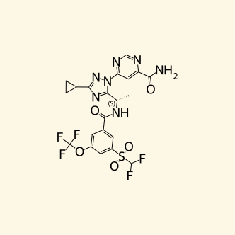 C[C@H](NC(=O)c1cc(OC(F)(F)F)cc(S(=O)(=O)C(F)F)c1)c1nc(C2CC2)nn1-c1cc(C(N)=O)ncn1